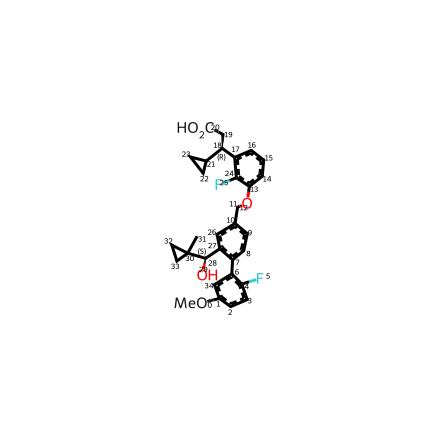 COc1ccc(F)c(-c2ccc(COc3cccc([C@H](CC(=O)O)C4CC4)c3F)cc2[C@@H](O)C2(C)CC2)c1